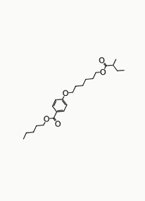 CCCCCOC(=O)c1ccc(OCCCCCCOC(=O)C(C)CC)cc1